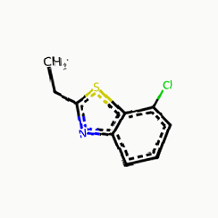 [CH2]Cc1nc2cccc(Cl)c2s1